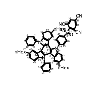 CCCCCCC1=Cc2c(n(-c3ccccc3)c3c2c2c(c4cc(CCCCCC)ccc4n2-c2ccc(S(=O)(=O)c4c(C#N)cc(C#N)cc4C#N)cc2)c2c3c3cc(CCCCCC)ccc3n2-c2ccccc2)CC1